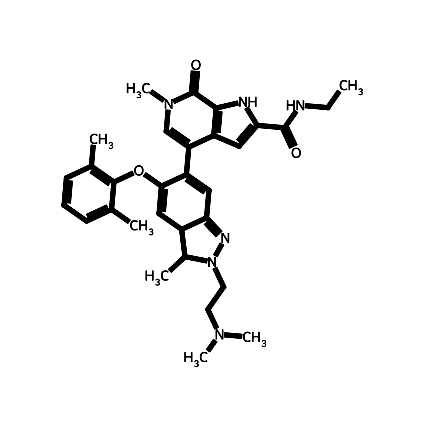 CCNC(=O)c1cc2c(C3=CC4=NN(CCN(C)C)C(C)C4C=C3Oc3c(C)cccc3C)cn(C)c(=O)c2[nH]1